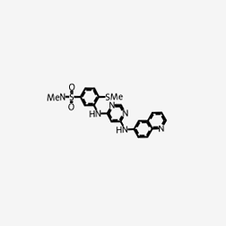 CNS(=O)(=O)c1ccc(SC)c(Nc2cc(Nc3ccc4ncccc4c3)ncn2)c1